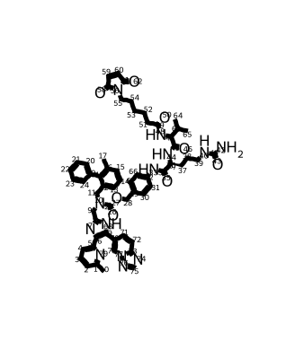 Cc1cccc(-c2nc(CN(Cc3cccc(C)c3-c3ccccc3)C(=O)OCc3ccc(NC(=O)[C@H](CCCNC(N)=O)NC(=O)C(NC(=O)CCCCCN4C(=O)C=CC4=O)C(C)C)cc3)[nH]c2-c2ccc3ncnn3c2)n1